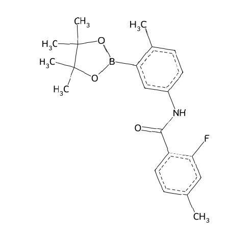 Cc1ccc(C(=O)Nc2ccc(C)c(B3OC(C)(C)C(C)(C)O3)c2)c(F)c1